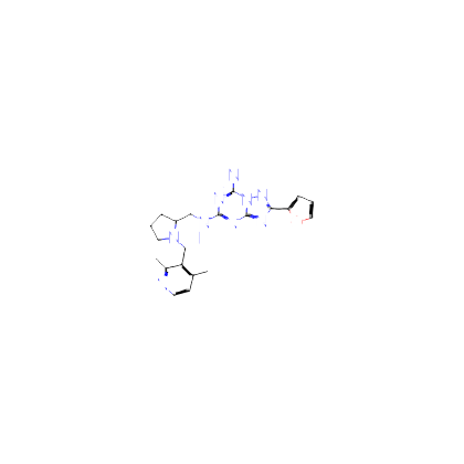 Cc1ccnc(C)c1CN1CCCC1CNc1nc(N)n2nc(-c3ccco3)nc2n1